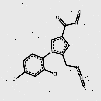 [N-]=[N+]=NCc1cc(C(=O)N=O)cn1-c1ccc(Cl)cc1Cl